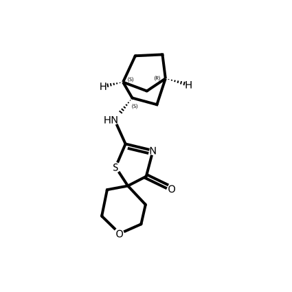 O=C1N=C(N[C@H]2C[C@@H]3CC[C@H]2C3)SC12CCOCC2